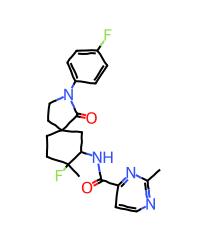 Cc1nccc(C(=O)NC2CC3(CCN(c4ccc(F)cc4)C3=O)CCC2(C)F)n1